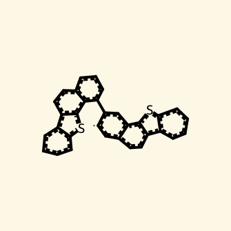 [c]1cc2ccc3c4ccccc4sc3c2cc1-c1cccc2ccc3c4ccccc4sc3c12